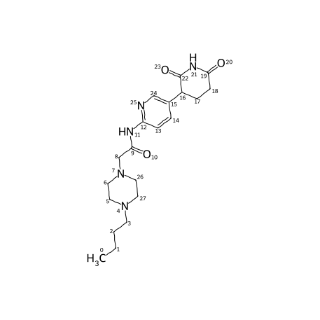 CCCCN1CCN(CC(=O)Nc2ccc(C3CCC(=O)NC3=O)cn2)CC1